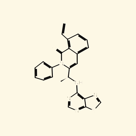 C=Cc1cccc2cc([C@H](C)Nc3ncnc4scnc34)n(-c3ccccc3)c(=O)c12